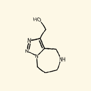 OCc1nnn2c1CNCCC2